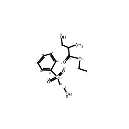 CCOC(=O)C(N)CO.CO.CS(=O)(=O)c1ccccc1